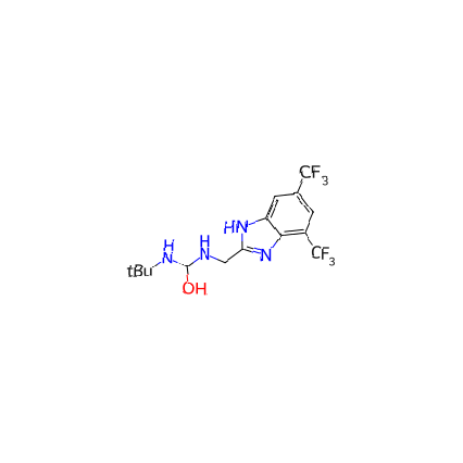 CC(C)(C)NC(O)NCc1nc2c(C(F)(F)F)cc(C(F)(F)F)cc2[nH]1